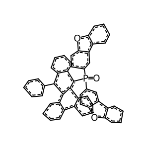 O=P(c1ccc2oc3ccccc3c2c1)(c1ccc2oc3ccccc3c2c1)c1c2ccccc2c(-c2ccccc2)c2c3ccccc3c3ccccc3c12